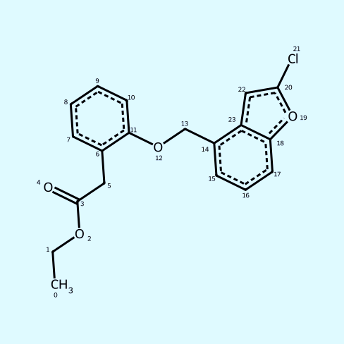 CCOC(=O)Cc1ccccc1OCc1cccc2oc(Cl)cc12